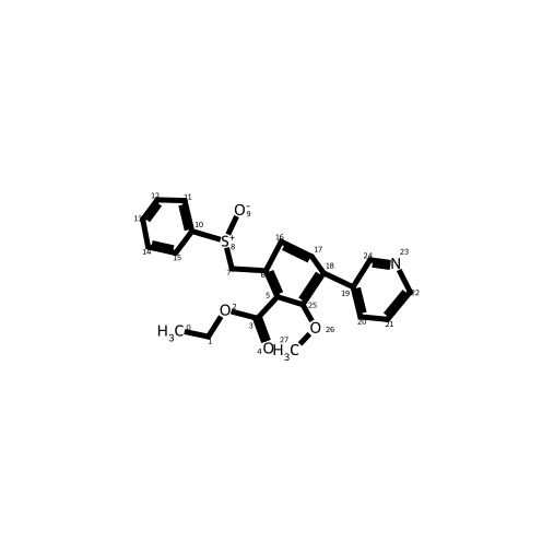 CCOC(=O)c1c(C[S+]([O-])c2ccccc2)ccc(-c2cccnc2)c1OC